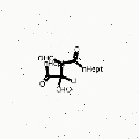 CCCCCCCC(=O)C([C]=O)C(Cl)([C]=O)C(=O)CCCCCCC